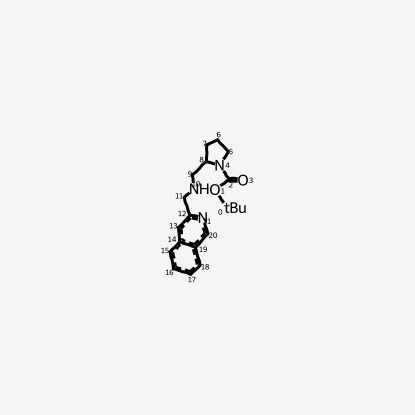 CC(C)(C)OC(=O)N1CCCC1CNCc1cc2ccccc2cn1